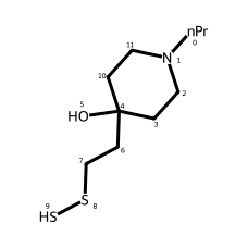 CCCN1CCC(O)(CCSS)CC1